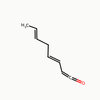 CC=CCC=CC=C=O